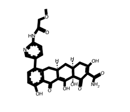 COCC(=O)Nc1ccc(-c2ccc(O)c3c2C[C@H]2C[C@H]4CC(O)=C(C(N)=O)C(=O)[C@@]4(O)C(O)=C2C3=O)cn1